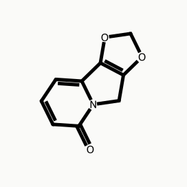 O=c1cccc2n1CC1=C2OCO1